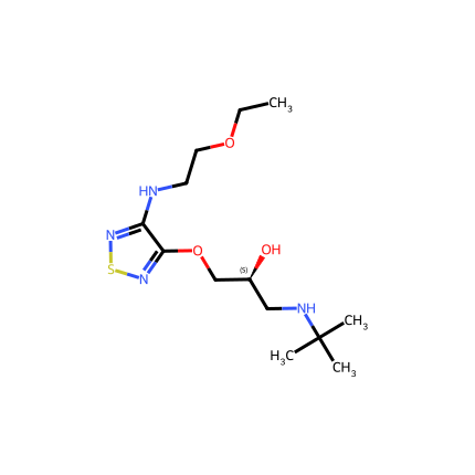 CCOCCNc1nsnc1OC[C@@H](O)CNC(C)(C)C